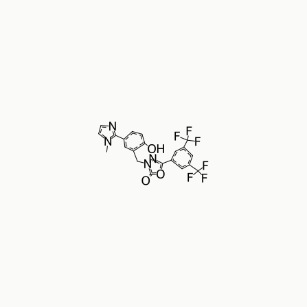 Cn1ccnc1-c1ccc(O)c(Cn2nc(-c3cc(C(F)(F)F)cc(C(F)(F)F)c3)oc2=O)c1